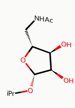 CC(=O)NC[C@H]1O[C@@H](OC(C)C)[C@H](O)[C@@H]1O